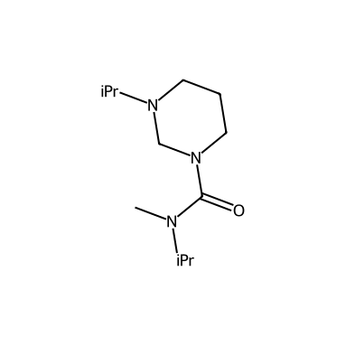 CC(C)N1CCCN(C(=O)N(C)C(C)C)C1